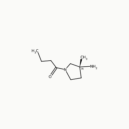 CCCC(=O)N1CC[C@@](C)(N)C1